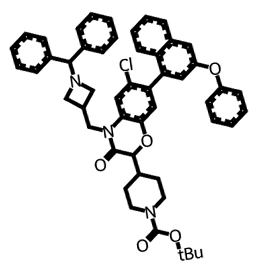 CC(C)(C)OC(=O)N1CCC(C2Oc3cc(-c4cc(Oc5ccccc5)cc5ccccc45)c(Cl)cc3N(CC3CN(C(c4ccccc4)c4ccccc4)C3)C2=O)CC1